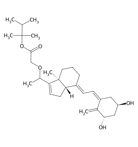 C=C1/C(=C\C=C2/CCC[C@]3(C)C(C(C)OCC(=O)OC(C)(C)C(C)C)=CC[C@@H]23)C[C@@H](O)C[C@@H]1O